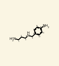 NCCCNCc1ccc(N)cc1